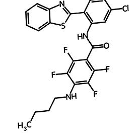 CCCCNc1c(F)c(F)c(C(=O)Nc2cc(Cl)ccc2-c2nc3ccccc3s2)c(F)c1F